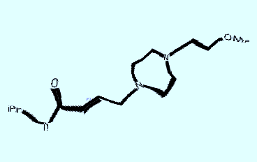 COCCN1CCN(C/C=C/C(=O)NC(C)C)CC1